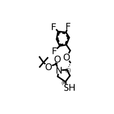 CC(C)(C)OC(=O)N1C[C@H](S)C[C@H]1COCc1cc(F)c(F)cc1F